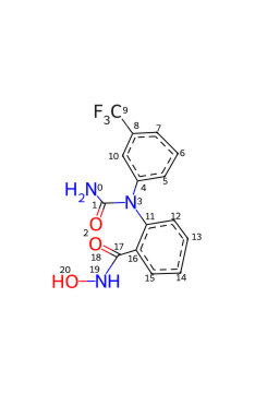 NC(=O)N(c1cccc(C(F)(F)F)c1)c1ccccc1C(=O)NO